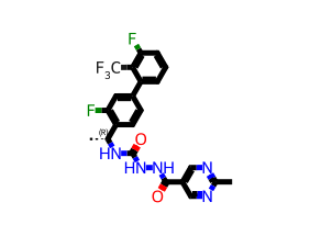 Cc1ncc(C(=O)NNC(=O)N[C@H](C)c2ccc(-c3cccc(F)c3C(F)(F)F)cc2F)cn1